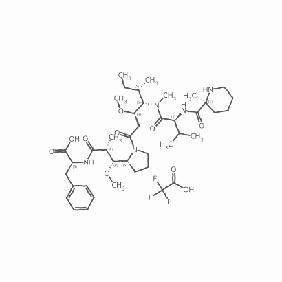 CC[C@H](C)[C@@H]([C@@H](CC(=O)N1CCC[C@H]1[C@H](OC)[C@@H](C)C(=O)N[C@@H](Cc1ccccc1)C(=O)O)OC)N(C)C(=O)[C@@H](NC(=O)[C@]1(C)CCCCN1)C(C)C.O=C(O)C(F)(F)F